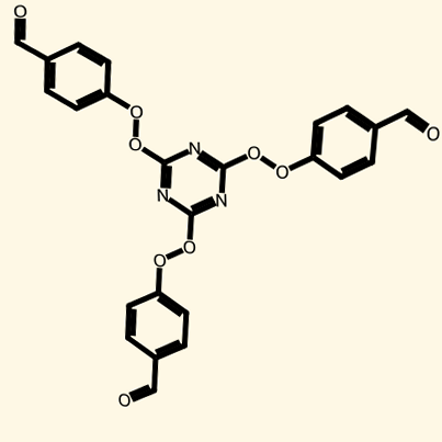 O=Cc1ccc(OOc2nc(OOc3ccc(C=O)cc3)nc(OOc3ccc(C=O)cc3)n2)cc1